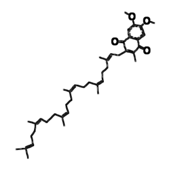 COc1cc2c(cc1OC)C(=O)C(CC=C(C)CCC=C(C)CCC=C(C)CCC=C(C)CCC=C(C)CCC=C(C)C)=C(C)C2=O